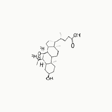 [2H]C(C)[C@@H]1[C@@H]2C[C@H](O)CC[C@]2(C)C2CC[C@@]3(C)C(CC[C@@H]3[C@H](C)CCC(=O)O)C2[C@]1([2H])O